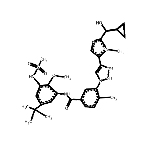 COc1c(NC(=O)c2ccc(C)c(N3C=C(c4cnc(C(O)C5CC5)n4C)NN3)c2)cc(C(C)(C)C)cc1NS(C)(=O)=O